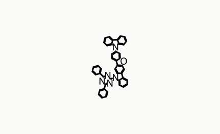 c1ccc(-c2nc(-c3ccccc3)nc(-n3c4ccccc4c4cc5oc6cc(-n7c8ccccc8c8ccccc87)ccc6c5cc43)n2)cc1